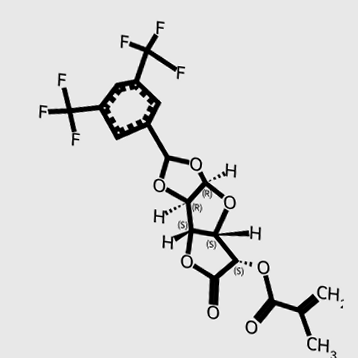 C=C(C)C(=O)O[C@@H]1C(=O)O[C@@H]2[C@H]3OC(c4cc(C(F)(F)F)cc(C(F)(F)F)c4)O[C@H]3O[C@@H]21